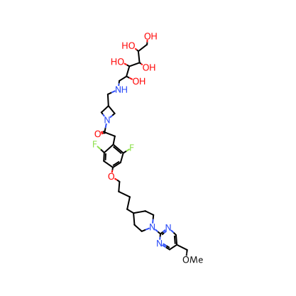 COCc1cnc(N2CCC(CCCCOc3cc(F)c(CC(=O)N4CC(CNCC(O)C(O)C(O)C(O)CO)C4)c(F)c3)CC2)nc1